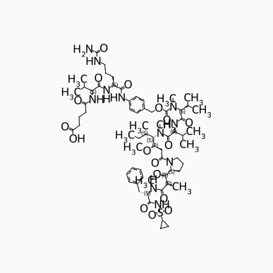 CC[C@H](C)[C@@H]([C@@H](CC(=O)N1CCC[C@H]1[C@H](OC)[C@@H](C)C(=O)N[C@@H](Cc1ccccc1)C(=O)NS(=O)(=O)C1CC1)OC)N(C)C(=O)[C@@H](NC(=O)[C@H](C(C)C)N(C)C(=O)OCc1ccc(NC(=O)[C@H](CCCNC(N)=O)NC(=O)[C@@H](NC(=O)CCCC(=O)O)C(C)C)cc1)C(C)C